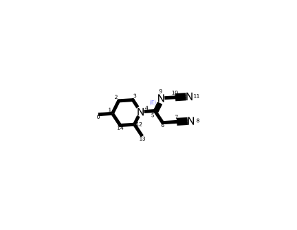 CC1CCN(/C(CC#N)=N/C#N)C(C)C1